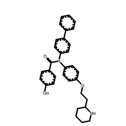 O=C(c1ccc(O)cc1)N(c1ccc(OCCC2CCCCN2)cc1)c1ccc(-c2ccccc2)cc1